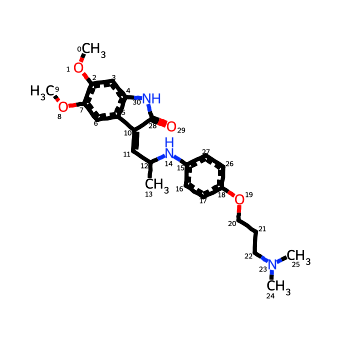 COc1cc2c(cc1OC)C(=CC(C)Nc1ccc(OCCCN(C)C)cc1)C(=O)N2